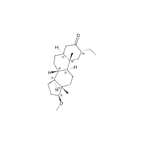 CC[C@@H]1C[C@@]2(C)[C@@H](CC[C@@H]3[C@@H]2CC[C@]2(C)[C@@H](OC)CC[C@@H]32)CC1=O